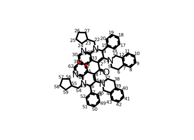 O=C(C1=C(N2CCc3ccccc3C2)C(c2ccccc2)N(CC2CCCC2)c2ncccc21)C1=C(N2CCc3ccccc3C2)C(c2ccccc2)N(CC2CCCC2)c2ncccc21